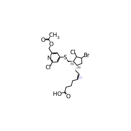 CC(=O)OCc1cc(SC[C@H]2C(Cl)C(Br)C[C@@H]2C/C=C\CCCC(=O)O)cc(Cl)n1